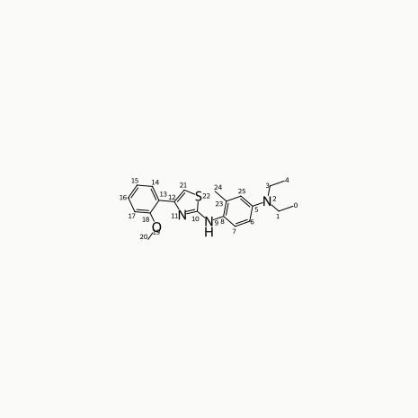 CCN(CC)c1ccc(Nc2nc(-c3ccccc3OC)cs2)c(C)c1